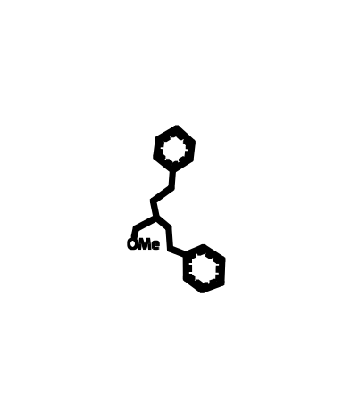 COCC(CCc1ccccc1)CCc1ccccc1